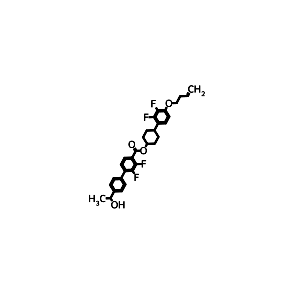 C=CCCOc1ccc(C2CCC(OC(=O)c3ccc(-c4ccc(C(C)O)cc4)c(F)c3F)CC2)c(F)c1F